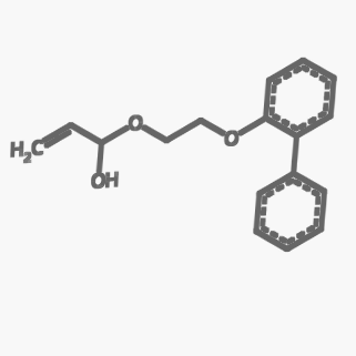 C=CC(O)OCCOc1ccccc1-c1ccccc1